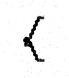 CCCCCCCCCCCCCCCCCCC[n+]1ccn(CCCCC)c1CCCCCCCCCCCCCCCCCC